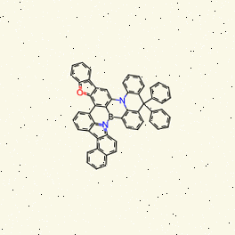 c1ccc(C2(c3ccccc3)c3ccccc3N3c4cc5c(oc6ccccc65)c5c4B(c4cccc2c43)n2c3ccc4ccccc4c3c3cccc-5c32)cc1